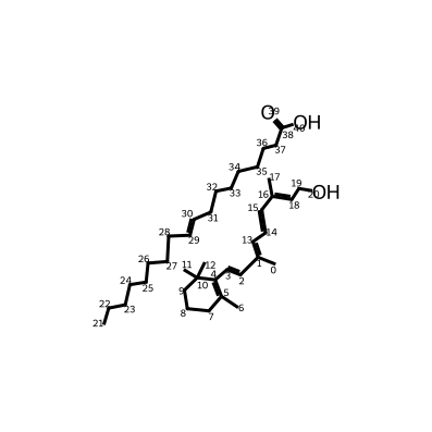 CC(C=CC1=C(C)CCCC1(C)C)=CC=CC(C)=CCO.CCCCCCCCC=CCCCCCCCC(=O)O